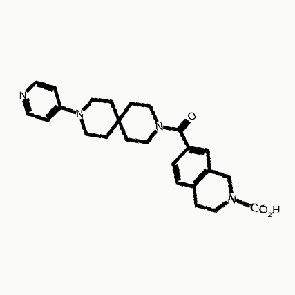 O=C(O)N1CCc2ccc(C(=O)N3CCC4(CC3)CCN(c3ccncc3)CC4)cc2C1